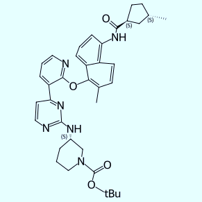 Cc1ccc2c(NC(=O)[C@H]3CC[C@H](C)C3)cccc2c1Oc1ncccc1-c1ccnc(N[C@H]2CCCN(C(=O)OC(C)(C)C)C2)n1